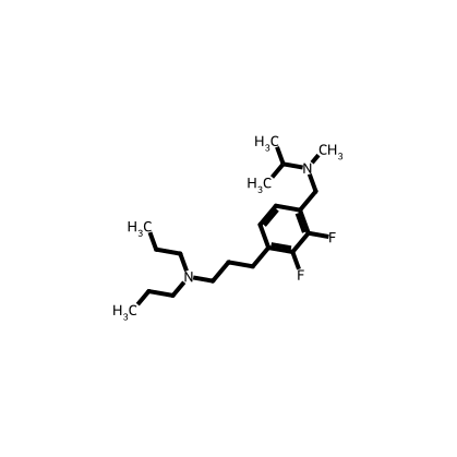 CCCN(CCC)CCCc1ccc(CN(C)C(C)C)c(F)c1F